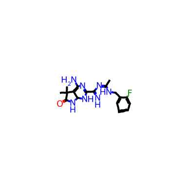 C/C(=N/C(=N)C1=NC(N)=C2C(NC(=O)C2(C)C)N1)NCc1ccccc1F